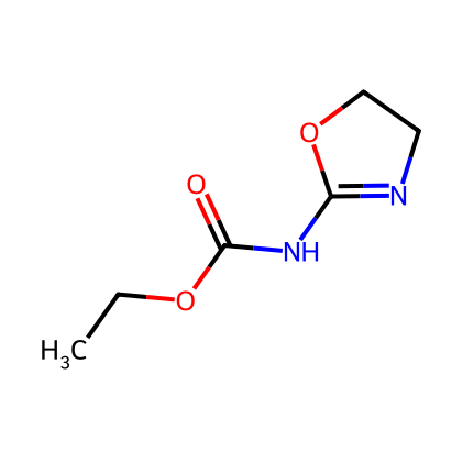 CCOC(=O)NC1=NCCO1